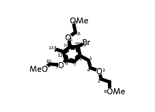 COCCOCCc1cc(OCOC)c(I)c(OCOC)c1Br